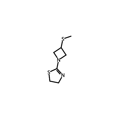 CSC1CN(C2=NCCS2)C1